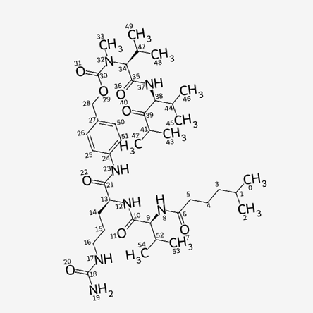 CC(C)CCCC(=O)N[C@H](C(=O)N[C@@H](CCCNC(N)=O)C(=O)Nc1ccc(COC(=O)N(C)[C@H](C(=O)N[C@H](C(=O)C(C)C)C(C)C)C(C)C)cc1)C(C)C